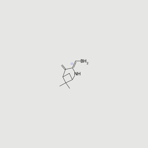 B/C=C1\NC2CC(C1=C)C2(C)C